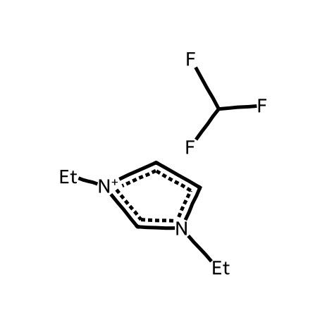 CCn1cc[n+](CC)c1.FC(F)F